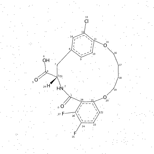 O=C1N[C@H](C(=O)O)Cc2ccc(c(Cl)c2)OCCCCOc2ccc(F)c(F)c21